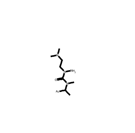 CC(=O)C(C)N(C)C(=O)N(N)CCN(C)C